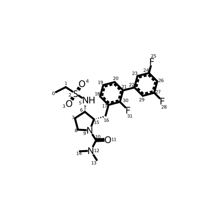 CCS(=O)(=O)N[C@H]1CCN(C(=O)N(C)C)[C@H]1Cc1cccc(-c2cc(F)cc(F)c2)c1F